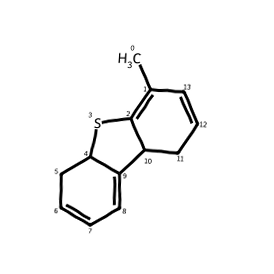 CC1=C2SC3CC=CC=C3C2CC=C1